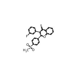 CS(=O)(=O)c1ccc(-c2oc3ccccc3c(=S)c2-c2cccc(F)c2)cc1